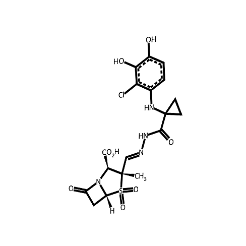 C[C@]1(/C=N/NC(=O)C2(Nc3ccc(O)c(O)c3Cl)CC2)[C@H](C(=O)O)N2C(=O)C[C@H]2S1(=O)=O